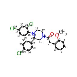 O=C(Cc1ccccc1OC(F)(F)F)N1CCN(c2ccc(Cl)cc2Cl)C(c2ccc(Cl)cc2)C1